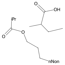 CCC(C)C(=O)O.CCCCCCCCCCCCOC(=O)C(C)C